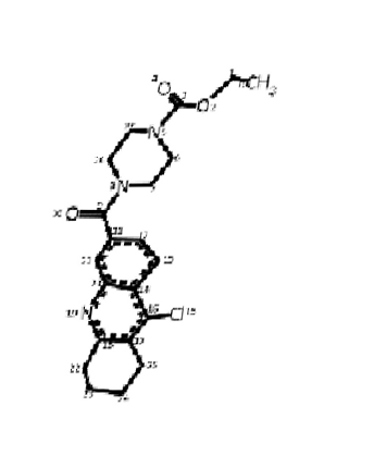 CCOC(=O)N1CCN(C(=O)c2ccc3c(Cl)c4c(nc3c2)CCCC4)CC1